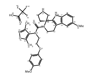 COc1ccc(OCCN(C(=O)N2CCc3c([nH]c4ccc(OC)cc34)[C@]23CCNC3)c2c(C)noc2C)cc1.O=C(O)C(F)(F)F